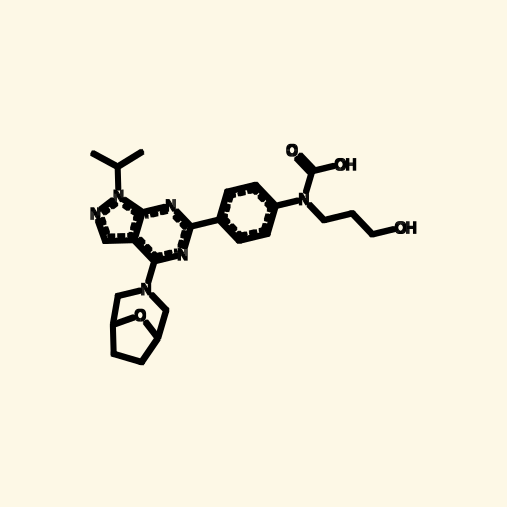 CC(C)n1ncc2c(N3CC4CCC(C3)O4)nc(-c3ccc(N(CCCO)C(=O)O)cc3)nc21